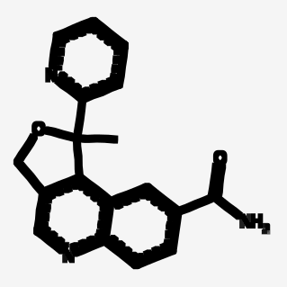 CC1(c2ccccn2)OCc2cnc3ccc(C(N)=O)cc3c21